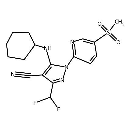 CS(=O)(=O)c1ccc(-n2nc(C(F)F)c(C#N)c2NC2CCCCC2)nc1